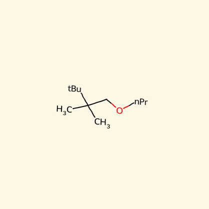 CCCOCC(C)(C)C(C)(C)C